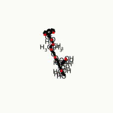 CC(CNC(=O)CCC(=O)N1Cc2ccccc2C#Cc2ccccc21)CC(C)(C)COCCOCCOCCOCCN(C[C@H](O)[C@@H](O)[C@H](O)[C@H](O)CO)C[C@H](O)[C@@H](O)[C@H](O)[C@H](O)CO